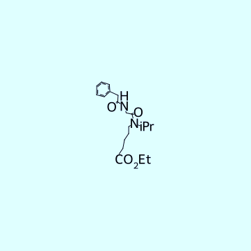 CCOC(=O)CCCCCN(C(=O)CNC(=O)Cc1ccccc1)C(C)C